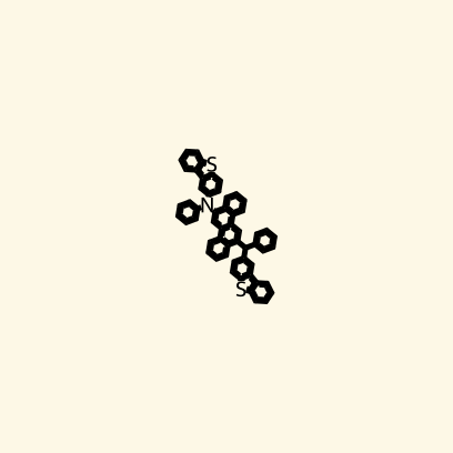 c1ccc(C(c2ccc3sc4ccccc4c3c2)c2cc3c4ccccc4c(N(c4ccccc4)c4ccc5sc6ccccc6c5c4)cc3c3ccccc23)cc1